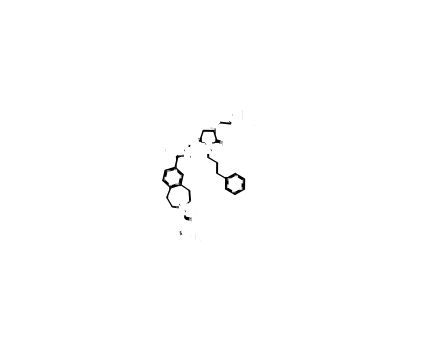 C=CC[C@@H]1C[C@@H](CNC(=O)c2ccc3c(c2)CCN(C(=O)OC(C)(C)C)CC3)N(CCCc2ccccc2)C1=O